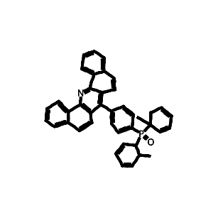 CC1C=CC=CC1P(=O)(c1ccc(-c2c3ccc4ccccc4c3nc3c2ccc2ccccc23)cc1)C1(C)C=CC=CC1